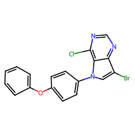 Clc1ncnc2c(Br)cn(-c3ccc(Oc4ccccc4)cc3)c12